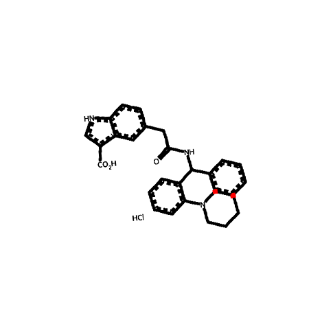 Cl.O=C(Cc1ccc2[nH]cc(C(=O)O)c2c1)NC(c1ccccc1)c1ccccc1N1CCCCC1